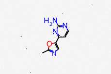 Cc1ncc(-c2ccnc(N)n2)o1